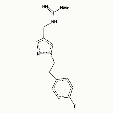 CNC(=N)NCc1cnn(CCc2ccc(F)cc2)c1